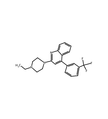 CCN1CCN(c2cc(-c3cccc(C(F)(F)F)c3)c3ccccc3n2)CC1